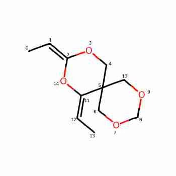 C/C=C1/OCC2(COCOC2)/C(=C\C)O1